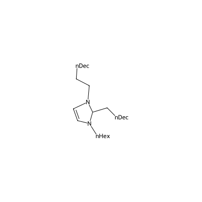 CCCCCCCCCCCCN1C=CN(CCCCCC)C1CCCCCCCCCCC